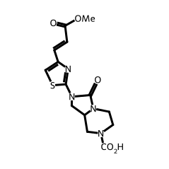 COC(=O)C=Cc1csc(N2CC3CN(C(=O)O)CCN3C2=O)n1